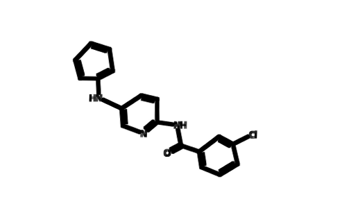 O=C(Nc1ccc(Nc2ccccc2)cn1)c1cccc(Cl)c1